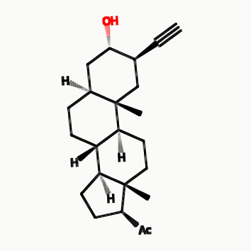 C#C[C@H]1C[C@@]2(C)[C@@H](CC[C@@H]3[C@@H]2CC[C@]2(C)[C@@H](C(C)=O)CC[C@@H]32)C[C@@H]1O